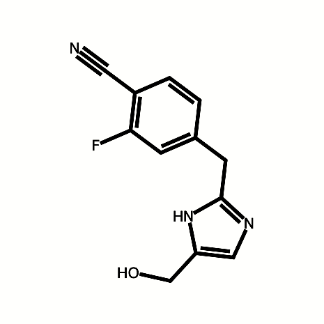 N#Cc1ccc(Cc2ncc(CO)[nH]2)cc1F